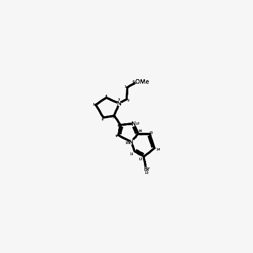 COCCN1CCCC1c1cn2cc(Br)ccc2n1